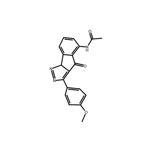 COc1ccc(C2=C3C(=O)c4c(NC(C)=O)cccc4C3N=N2)cc1